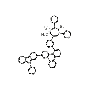 CCC1C(C2=CCCC=C2)=C(C)[C@@H](C)C(c2cccc(C3=CCCc4c3c3ccc(-c5ccc6c7ccccc7n(-c7ccccc7)c6c5)cc3c3ccccc43)c2)=CC1c1ccccc1